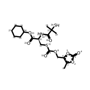 Cc1oc(=O)oc1COC(=O)SC[C@H](NC(=O)C(C)(C)S)C(=O)OC1CCCCC1